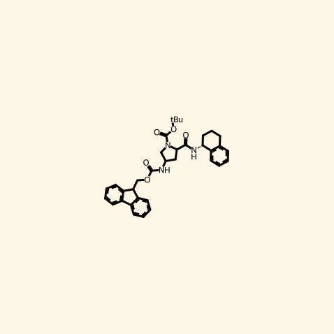 CC(C)(C)OC(=O)N1CC(NC(=O)OCC2c3ccccc3-c3ccccc32)CC1C(=O)N[C@@H]1CCCc2ccccc21